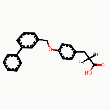 [2H]C([2H])(Cc1ccc(OCc2cccc(-c3ccccc3)c2)cc1)C(=O)O